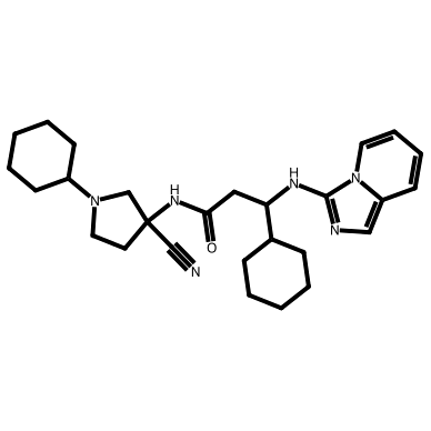 N#CC1(NC(=O)CC(Nc2ncc3ccccn23)C2CCCCC2)CCN(C2CCCCC2)C1